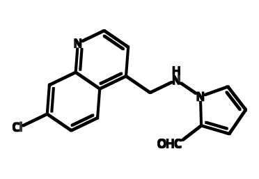 O=Cc1cccn1NCc1ccnc2cc(Cl)ccc12